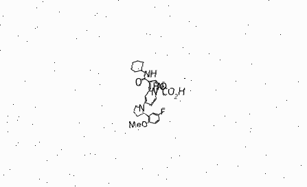 COc1ccc(F)cc1[C@H]1CCCN1c1ccn2ncc(C(=O)NC3CCCCC3)c2c1.O=C(O)O